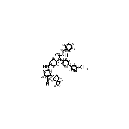 Cn1cc(-c2ccc(N(C(=O)NCc3ccccc3)C3CCN(Nc4ncc(C#N)c(N5CCC6(COC6)C5)n4)CC3)nn2)cn1